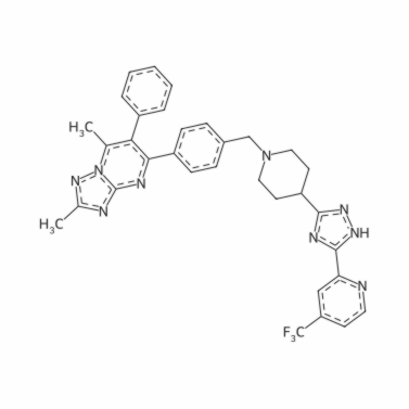 Cc1nc2nc(-c3ccc(CN4CCC(c5n[nH]c(-c6cc(C(F)(F)F)ccn6)n5)CC4)cc3)c(-c3ccccc3)c(C)n2n1